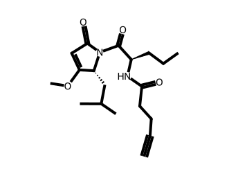 C#CCCC(=O)N[C@H](CCC)C(=O)N1C(=O)C=C(OC)[C@H]1CC(C)C